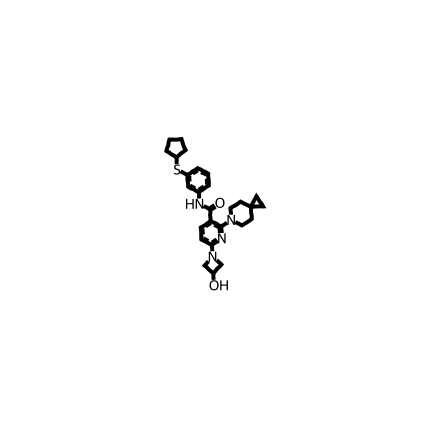 O=C(Nc1cccc(SC2CCCC2)c1)c1ccc(N2CC(O)C2)nc1N1CCC2(CC1)CC2